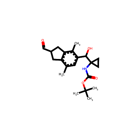 Cc1cc(C(O)C2(NC(=O)OC(C)(C)C)CC2)c(C)c2c1CC(C=O)C2